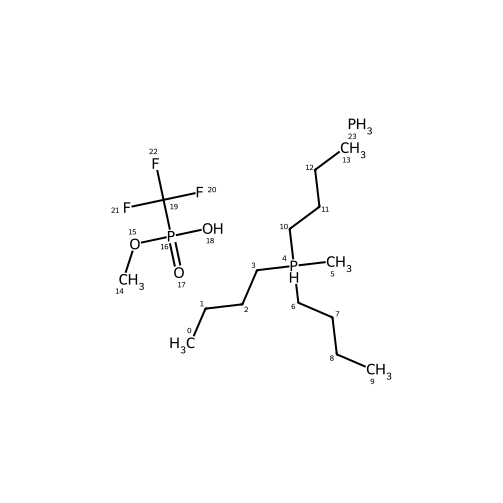 CCCC[PH](C)(CCCC)CCCC.COP(=O)(O)C(F)(F)F.P